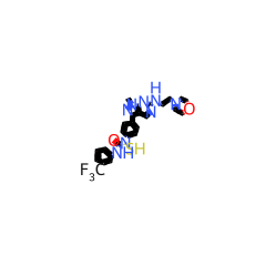 Cn1nc(-c2ccc(N(S)C(=O)Nc3cccc(C(F)(F)F)c3)cc2)c2cnc(NCCN3CCOCC3)nc21